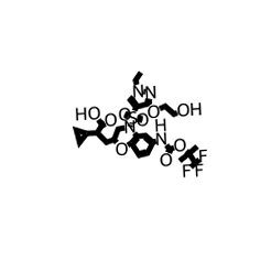 CCn1cc(S(=O)(=O)N2CC(CC(C(=O)O)C3CC3)Oc3ccc(NC(=O)OC(C)(C)C(F)(F)F)cc32)c(OCCO)n1